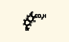 CN1Cc2ccc(Br)cc2C=C1C(=O)O